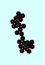 c1ccc(-c2cc(N(c3cccc(C4(c5ccccc5)c5ccccc5-c5ccccc54)c3)c3c(-c4ccc5ccccc5c4)c4ccccc4c4ccccc34)ccc2-c2ccc(-c3ccc(-c4cc(-c5ccccc5)c(-c5ccc(N(c6cccc(C7(c8ccccc8)c8ccccc8-c8ccccc87)c6)c6c(-c7cccc8ccccc78)c7ccccc7c7ccccc67)cc5)cc4-c4ccccc4)cc3)cc2)cc1